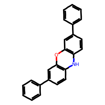 c1ccc(-c2ccc3c(c2)Oc2cc(-c4ccccc4)ccc2N3)cc1